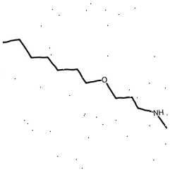 CCCCCCCOCCCNC